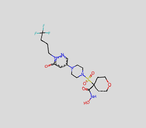 O=C(NO)C1(S(=O)(=O)N2CCN(c3cnn(CCCC(F)(F)F)c(=O)c3)CC2)CCOCC1